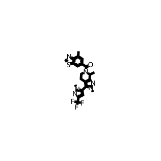 Cc1cc(C(=O)N2CCc3c(nn(C)c3-c3cc(C(F)(F)F)nn3C)C2C)cc2scnc12